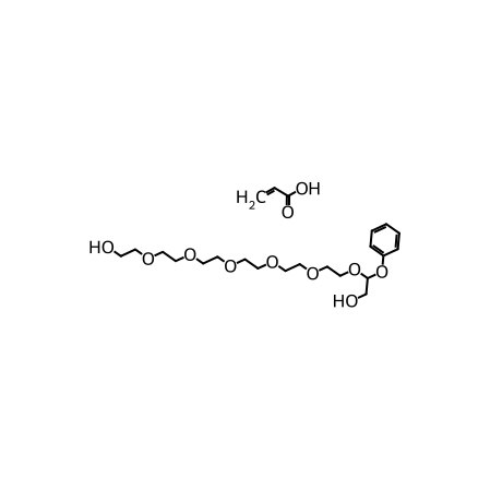 C=CC(=O)O.OCCOCCOCCOCCOCCOCCOC(CO)Oc1ccccc1